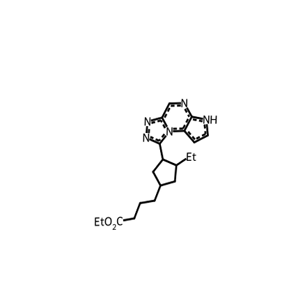 CCOC(=O)CCCC1CC(CC)C(c2nnc3cnc4[nH]ccc4n23)C1